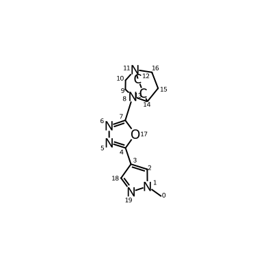 Cn1cc(-c2nnc(N3CCN4CCC3CC4)o2)cn1